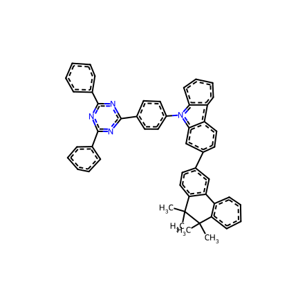 CC1(C)c2ccccc2-c2cc(-c3ccc4c5ccccc5n(-c5ccc(-c6nc(-c7ccccc7)nc(-c7ccccc7)n6)cc5)c4c3)ccc2C1(C)C